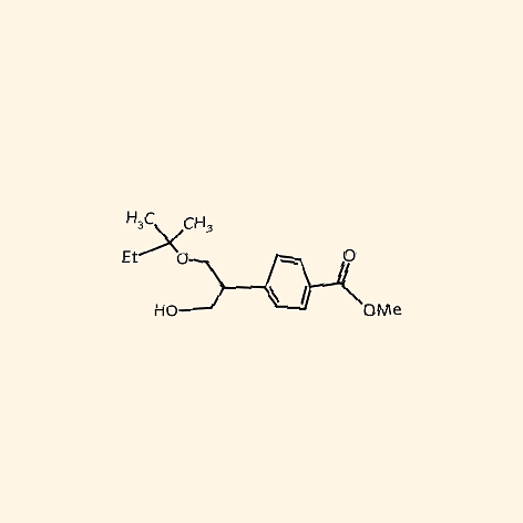 CCC(C)(C)OCC(CO)c1ccc(C(=O)OC)cc1